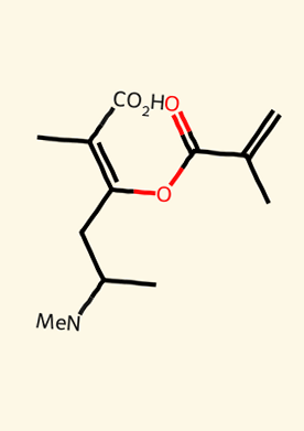 C=C(C)C(=O)OC(CC(C)NC)=C(C)C(=O)O